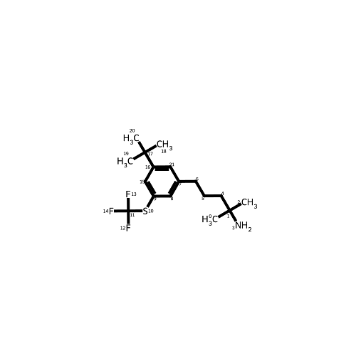 CC(C)(N)CCCc1cc(SC(F)(F)F)cc(C(C)(C)C)c1